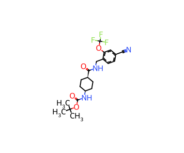 CC(C)(C)OC(=O)N[C@H]1CC[C@@H](C(=O)NCc2ccc(C#N)cc2OC(F)(F)F)CC1